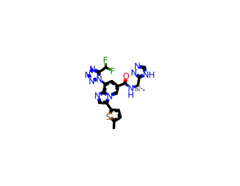 Cc1ccc(-c2cnc3c(-n4nnnc4C(F)F)cc(C(=O)N[C@@H](C)c4nnc[nH]4)cn23)s1